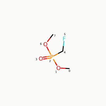 COP(=O)(CF)OC